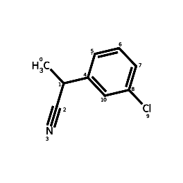 CC(C#N)c1[c]ccc(Cl)c1